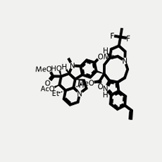 C=Cc1ccc2[nH]c3c(c2c1)CCN1CC(C(C)(F)F)C[C@@H](C1)C[C@]3(C(=O)OC)c1cc2c(cc1OC)N(C)[C@H]1[C@@](O)(C(=O)OC)[C@H](OC(C)=O)[C@]3(CC)C=CCN4CC[C@]21[C@@H]43